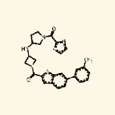 O=C(c1cc2ccc(-c3cccc(C(F)(F)F)c3)cc2s1)N1CC(NC2CCN(C(=O)c3nccs3)C2)C1